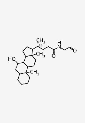 C[C@H](CCC(=O)NCC=O)C1CCC2C3C(O)CC4CCCCC4(C)C3CCC21C